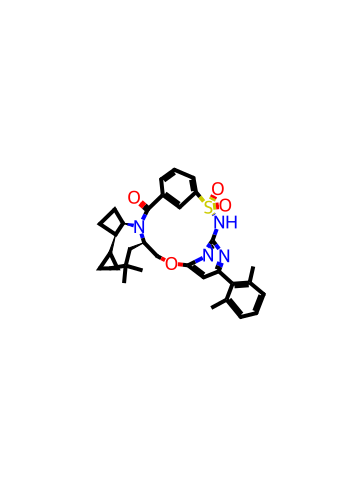 Cc1cccc(C)c1-c1cc2nc(n1)NS(=O)(=O)c1cccc(c1)C(=O)N([C@@H]1CC[C@@H]1C1CC1)[C@H](CC(C)(C)C)CO2